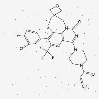 C=CC(=O)N1CCN(c2nc(=O)n3c4c(c(-c5ccc(F)c(Cl)c5)c(C(F)(F)F)cc24)SCC2(COC2)C3)CC1